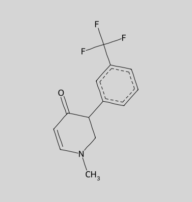 CN1C=CC(=O)C(c2cccc(C(F)(F)F)c2)C1